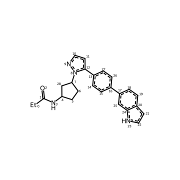 CCC(=O)NC1CCC(n2nccc2-c2ccc(-c3ccc4cc[nH]c4c3)cc2)C1